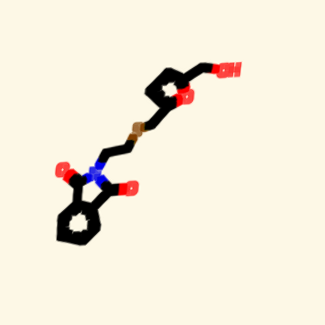 O=C1c2ccccc2C(=O)N1CCSCc1ccc(CO)o1